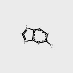 Clc1ccc2c(c1)N=C=N2